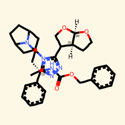 Cc1nnc(C2CO[C@H]3OCC[C@@H]23)n1C1CC2CCC(C1)N2CC[C@H](NC(=O)OCc1ccccc1)c1ccccc1